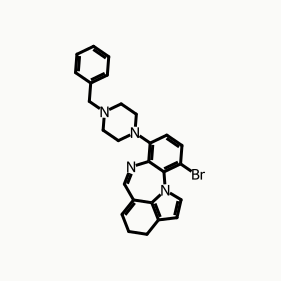 Brc1ccc(N2CCN(Cc3ccccc3)CC2)c2c1-n1ccc3c1C(=CCC3)C=N2